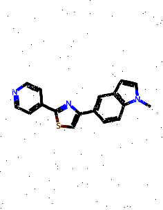 Cn1ccc2cc(-c3csc(-c4ccncc4)n3)ccc21